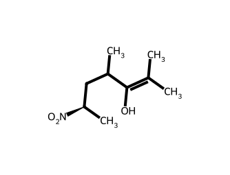 CC(C)=C(O)C(C)C[C@@H](C)[N+](=O)[O-]